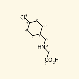 O=C(O)CNCC1CCC(Cl)CC1